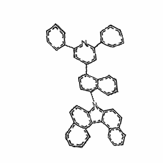 c1ccc(-c2cc(-c3ccc(-n4c5ccc6ccccc6c5c5c6ccccc6ccc54)c4ccccc34)cc(-c3ccccc3)n2)cc1